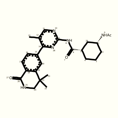 CC(=O)N[C@@H]1CCC[C@H](C(=O)Nc2ncc(C)c(-c3ccc4c(c3)C(C)(C)CNC4=O)n2)C1